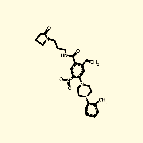 C=Cc1cc(N2CCN(c3ccccc3C)CC2)c([N+](=O)[O-])cc1C(=O)NCCCN1CCCC1=O